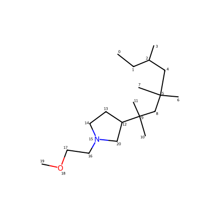 CCC(C)CC(C)(C)CC(C)(C)C1CCN(CCOC)C1